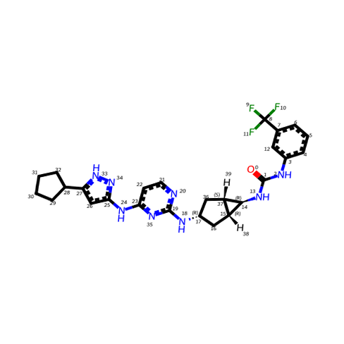 O=C(Nc1cccc(C(F)(F)F)c1)N[C@H]1[C@@H]2C[C@H](Nc3nccc(Nc4cc(C5CCCC5)[nH]n4)n3)C[C@@H]21